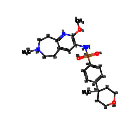 COc1nc2c(cc1NS(=O)(=O)c1ccc(C3(C)CCOCC3)cc1)CCN(C)CC2